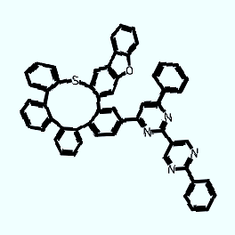 c1ccc(-c2cc(-c3ccc4c(c3)-c3cc5oc6ccccc6c5cc3Sc3ccccc3-c3ccccc3-c3ccccc3-4)nc(-c3cnc(-c4ccccc4)nc3)n2)cc1